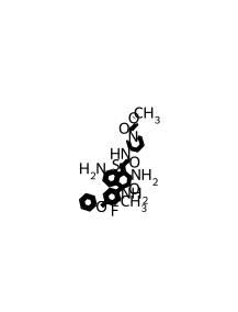 COCC(=O)N1CCCC(NC(=O)c2sc3c(N)ccc4c3c2C(N)C(=O)C4(N)c2ccc(Oc3ccccc3)c(F)c2C)C1